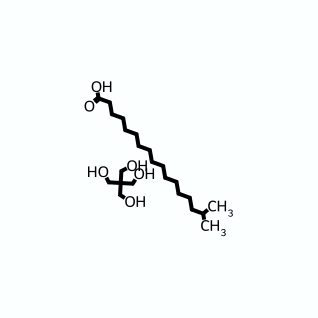 CC(C)CCCCCCCCCCCCCCC(=O)O.OCC(CO)(CO)CO